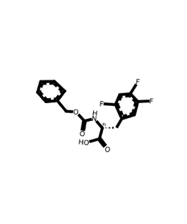 O=C(N[C@H](Cc1cc(F)c(F)cc1F)C(=O)O)OCc1ccccc1